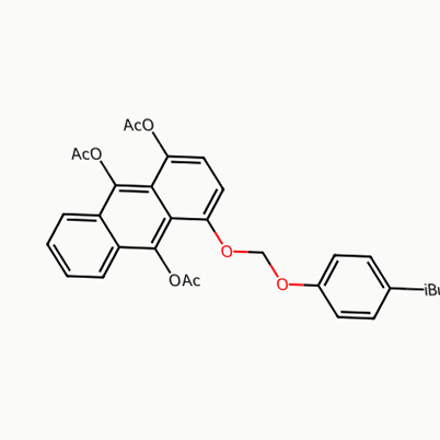 CCC(C)c1ccc(OCOc2ccc(OC(C)=O)c3c(OC(C)=O)c4ccccc4c(OC(C)=O)c23)cc1